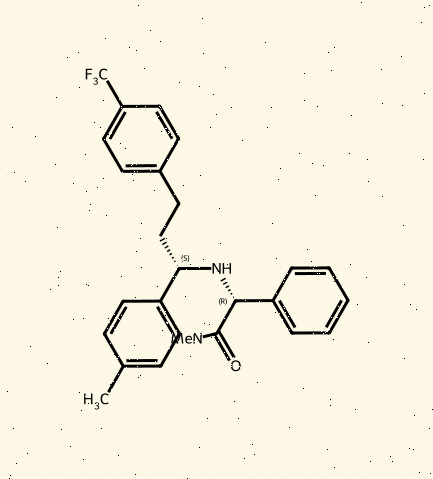 CNC(=O)[C@H](N[C@@H](CCc1ccc(C(F)(F)F)cc1)c1ccc(C)cc1)c1ccccc1